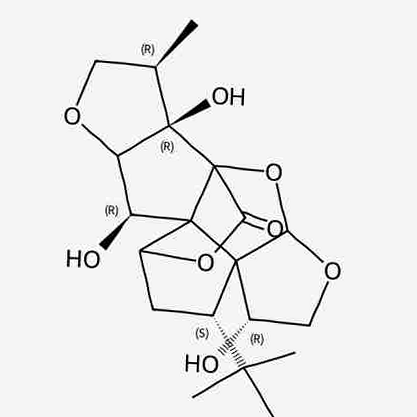 C[C@@H]1COC2[C@H](O)C34C5C[C@@H](C(C)(C)C)C36C(OC[C@@H]6O)OC4(C(=O)O5)[C@]21O